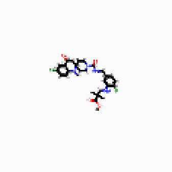 COC(=O)C(C)(C)CNc1cc(CNC(=O)N2CCC3(CC2)CC(=O)c2cc(F)ccc2N3C)ccc1F